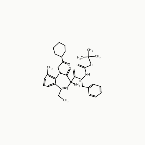 CCC1=NC(N)(C(=O)[C@H](Cc2ccccc2)NC(=O)OC(C)(C)C)C(=O)N(CC(=O)C2CCCCC2)c2c(C)cccc21